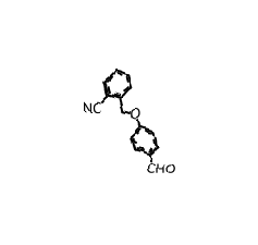 N#Cc1ccccc1COc1ccc(C=O)cc1